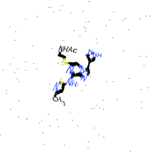 CC(=O)NCCSc1cn2c(-c3cn[nH]c3)cnc2c(Nc2cc(C)ns2)n1